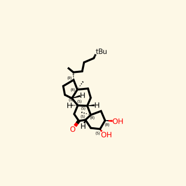 CC(CCCC(C)(C)C)[C@H]1CC[C@H]2[C@@H]3CC(=O)[C@H]4C[C@H](O)[C@H](O)C[C@]4(C)[C@H]3CC[C@]12C